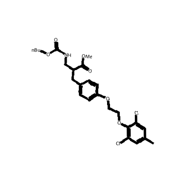 CCCCOC(=O)NCC(Cc1ccc(OCCOc2c(Cl)cc(C)cc2Cl)cc1)C(=O)OC